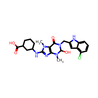 CN1c2nc(NC3CCCC(C(=O)O)C3)n(C)c2C(=O)N(Cc2cc3c(Cl)cccc3[nH]2)C1O